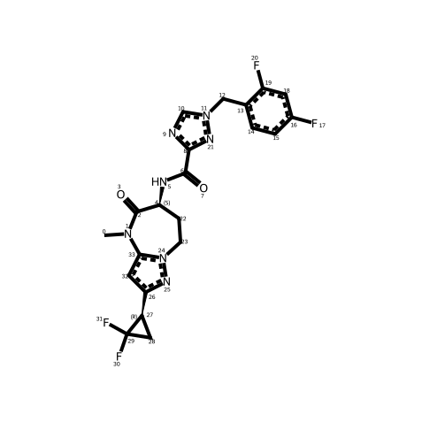 CN1C(=O)[C@@H](NC(=O)c2ncn(Cc3ccc(F)cc3F)n2)CCn2nc([C@H]3CC3(F)F)cc21